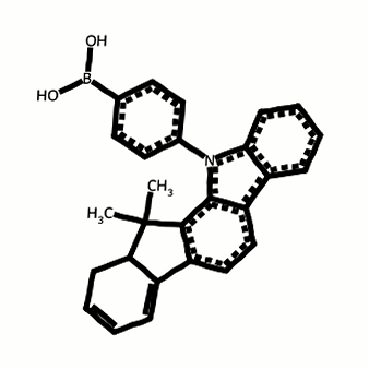 CC1(C)c2c(ccc3c4ccccc4n(-c4ccc(B(O)O)cc4)c23)C2=CC=CCC21